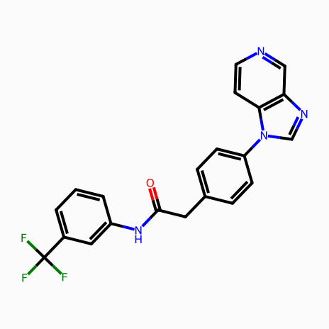 O=C(Cc1ccc(-n2cnc3cnccc32)cc1)Nc1cccc(C(F)(F)F)c1